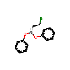 BrCC[SiH](Oc1ccccc1)Oc1ccccc1